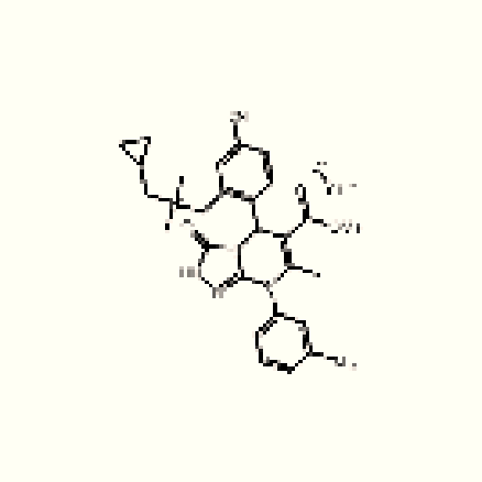 COC(=O)C1=C(C)N(c2cccc(C(F)(F)F)c2)c2n[nH]c(=O)n2C1c1ccc(C#N)cc1C[N+](C)(C)CC1CC1.O=C[O-]